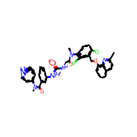 Cc1ccc2cccc(OCc3c(Cl)ccc(N(C)C(=O)CNC(=O)Nc4cccc(C(=O)N(C)c5ccncc5)c4)c3Cl)c2n1